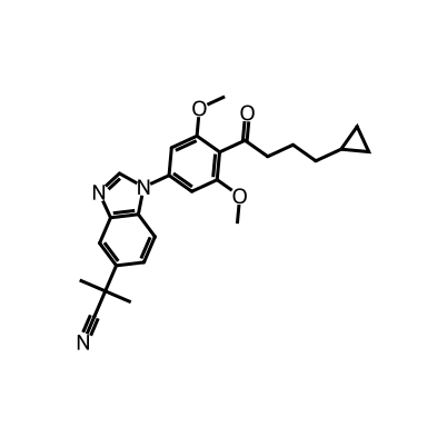 COc1cc(-n2cnc3cc(C(C)(C)C#N)ccc32)cc(OC)c1C(=O)CCCC1CC1